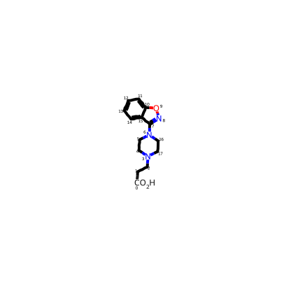 O=C(O)CCN1CCN(c2noc3ccccc23)CC1